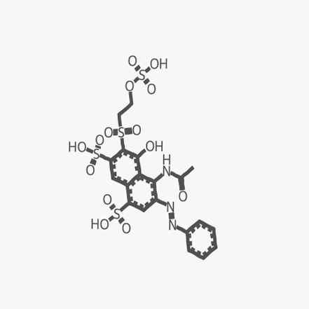 CC(=O)Nc1c(N=Nc2ccccc2)cc(S(=O)(=O)O)c2cc(S(=O)(=O)O)c(S(=O)(=O)CCOS(=O)(=O)O)c(O)c12